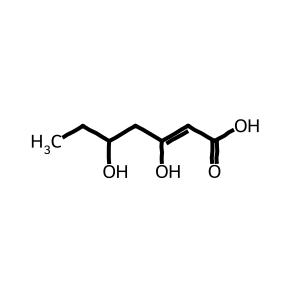 CCC(O)CC(O)=CC(=O)O